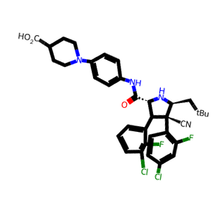 CC(C)(C)C[C@@H]1N[C@@H](C(=O)Nc2ccc(N3CCC(C(=O)O)CC3)cc2)C(c2cccc(Cl)c2F)[C@@]1(C#N)c1ccc(Cl)cc1F